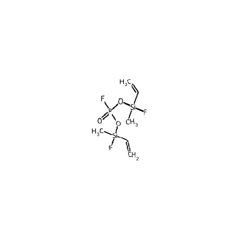 C=C[Si](C)(F)OP(=O)(F)O[Si](C)(F)C=C